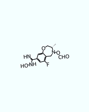 C[C@H]1COc2cc(C(=N)NO)cc(F)c2CN1OC=O